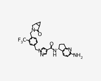 Nc1ccc2c(n1)CC[C@H]2NC(=O)c1cnn(Cc2ccc(CN3CC4CC4C3=O)c(C(F)(F)F)c2)c1